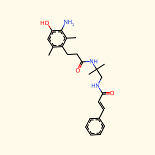 Cc1cc(O)c(N)c(C)c1CCC(=O)NC(C)(C)CNC(=O)C=Cc1ccccc1